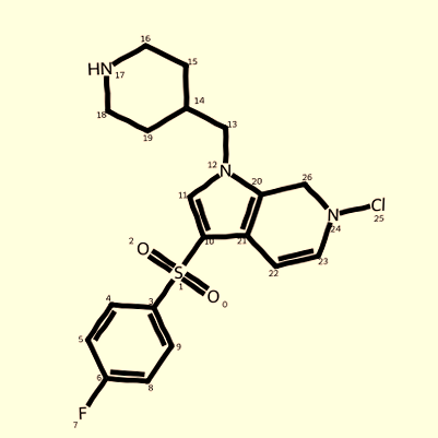 O=S(=O)(c1ccc(F)cc1)c1cn(CC2CCNCC2)c2c1C=CN(Cl)C2